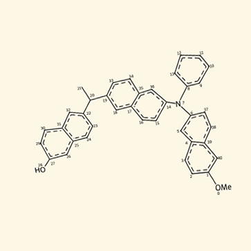 COc1ccc2cc(N(c3ccccc3)c3ccc4cc(C(C)c5ccc6cc(O)ccc6c5)ccc4c3)ccc2c1